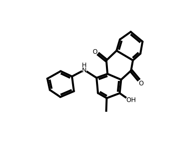 Cc1cc(Nc2ccccc2)c2c(c1O)C(=O)c1ccccc1C2=O